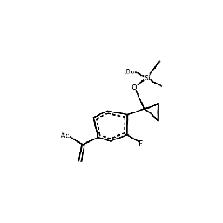 C=C(C(C)=O)c1ccc(C2(O[Si](C)(C)C(C)(C)C)CC2)c(F)c1